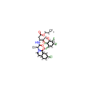 CCC(C(=O)NC(CC(=O)OCCC(F)(F)F)C(=O)COc1c(F)c(F)cc(F)c1F)n1ccc2ccc(Cl)cc2c1=O